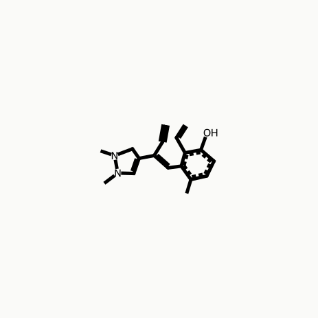 C#C/C(=C\c1c(C)ccc(O)c1C=C)C1=CN(C)N(C)C1